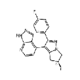 Fc1ccc(-c2nn3c(c2-c2ccnc4[nH]ncc24)C[C@H](F)C3)cc1